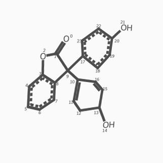 O=C1Oc2ccccc2C1(C1=CCC(O)C=C1)c1ccc(O)cc1